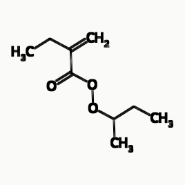 C=C(CC)C(=O)OOC(C)CC